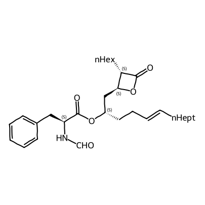 CCCCCCCC=CCC[C@@H](C[C@@H]1OC(=O)[C@H]1CCCCCC)OC(=O)[C@H](Cc1ccccc1)NC=O